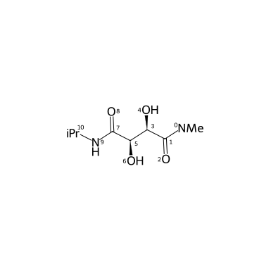 CNC(=O)[C@H](O)[C@@H](O)C(=O)NC(C)C